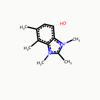 Cc1ccc2c(c1C)n(C)c(C)[n+]2C.[OH-]